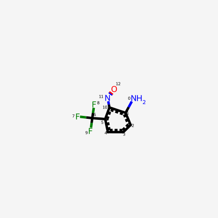 Nc1cccc(C(F)(F)F)c1N=O